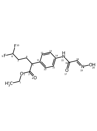 CCOC(=O)C(CCC(F)F)c1ccc(NC(=O)/C=N/O)cc1